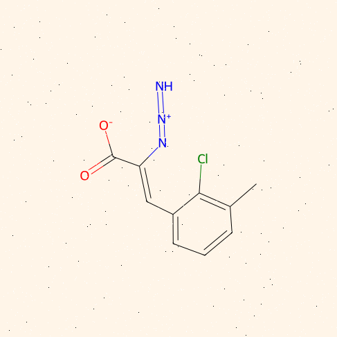 Cc1cccc(C=C(N=[N+]=N)C(=O)[O-])c1Cl